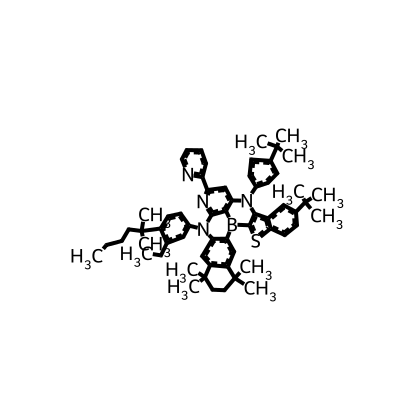 CCCCC(C)(C)c1ccc(N2c3cc4c(cc3B3c5sc6ccc(C(C)(C)C)cc6c5N(c5ccc(C(C)(C)C)cc5)c5cc(-c6ccccn6)nc2c53)C(C)(C)CCC4(C)C)cc1CC